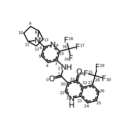 O=C(Nc1ccc(N2C3CCC2CC3)nc1C(F)(F)F)c1c[nH]c2cccc(C(F)(F)F)c2c1=O